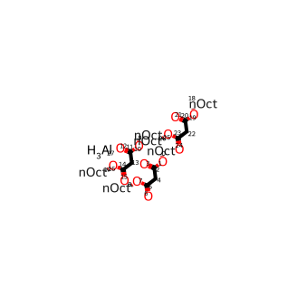 CCCCCCCCOC(=O)CC(=O)OCCCCCCCC.CCCCCCCCOC(=O)CC(=O)OCCCCCCCC.CCCCCCCCOC(=O)CC(=O)OCCCCCCCC.[AlH3]